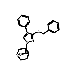 c1ccc(COc2nn(C3CN4CCC3CC4)cc2-c2ccccc2)cc1